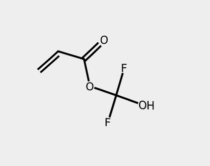 C=CC(=O)OC(O)(F)F